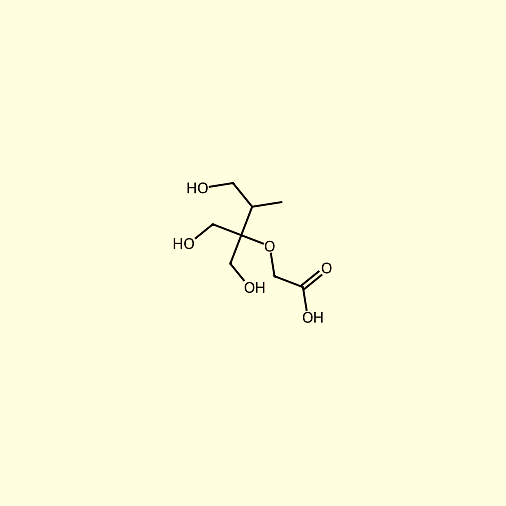 CC(CO)C(CO)(CO)OCC(=O)O